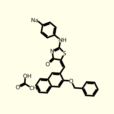 CC(=O)O.O=C1N=C(Nc2cc[c]([Na])cc2)SC1=Cc1cc2ccccc2cc1OCc1ccccc1